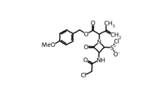 C=C(C)C(C(=O)OCc1ccc(OC)cc1)N1C(=O)C(NC(=O)CCl)C1[S+]([O-])Cl